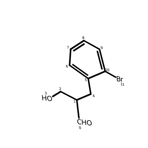 O=CC(CO)Cc1ccccc1Br